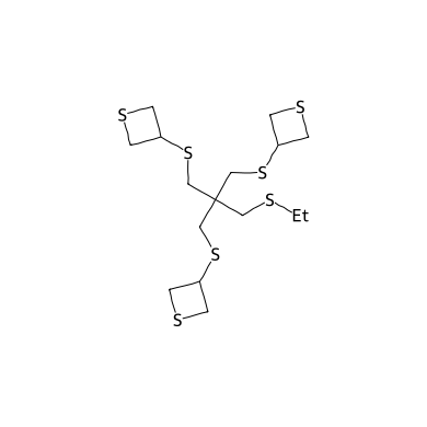 CCSCC(CSC1CSC1)(CSC1CSC1)CSC1CSC1